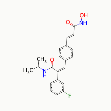 CC(C)NC(=O)C(=Cc1ccc(/C=C/C(=O)NO)cc1)c1cccc(F)c1